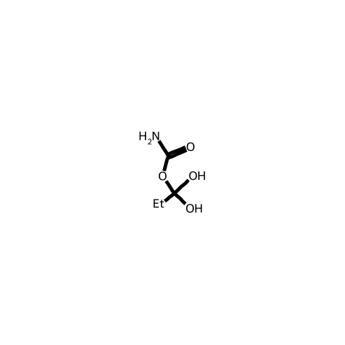 CCC(O)(O)OC(N)=O